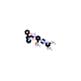 COCc1cc(NC(=O)C(=O)c2c(C3CCCCC3)cc3ccccn23)ccc1N1CCN(c2cc(C)cc(C)n2)CC1